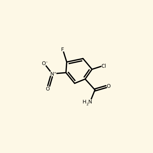 NC(=O)c1cc([N+](=O)[O-])c(F)cc1Cl